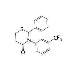 O=C1CCSC(c2ccccc2)N1c1cccc(C(F)(F)F)c1